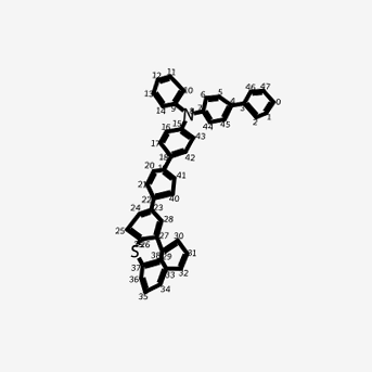 c1ccc(-c2ccc(N(c3ccccc3)c3ccc(-c4ccc(-c5ccc6c(c5)-c5cccc7cccc(c57)S6)cc4)cc3)cc2)cc1